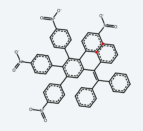 O=[N+]([O-])c1ccc(-c2cc(C(=C(c3ccccc3)c3ccccc3)c3ccccc3)c(-c3ccc([N+](=O)[O-])cc3)c(-c3ccc([N+](=O)[O-])cc3)c2-c2ccc([N+](=O)[O-])cc2)cc1